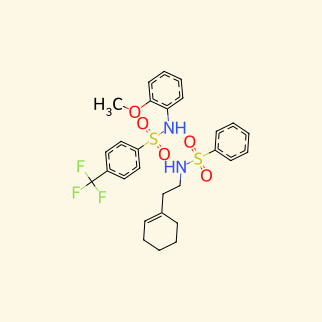 COc1ccccc1NS(=O)(=O)c1ccc(C(F)(F)F)cc1.O=S(=O)(NCCC1=CCCCC1)c1ccccc1